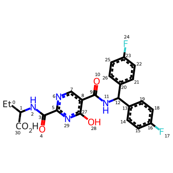 CCC(NC(=O)c1ncc(C(=O)NC(c2ccc(F)cc2)c2ccc(F)cc2)c(O)n1)C(=O)O